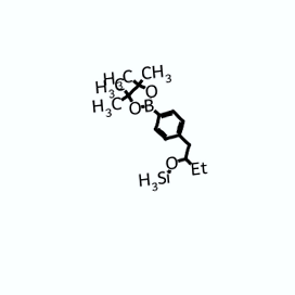 CCC(Cc1ccc(B2OC(C)(C)C(C)(C)O2)cc1)O[SiH3]